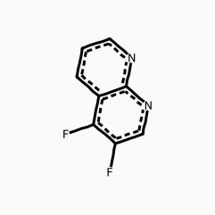 Fc1cnc2ncccc2c1F